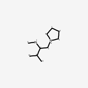 C[N]C(CN1CCCC1)C(C)C